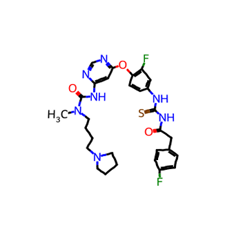 CN(CCCCN1CCCC1)C(=O)Nc1cc(Oc2ccc(NC(=S)NC(=O)Cc3ccc(F)cc3)cc2F)ncn1